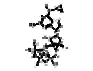 CN(c1nc(N)nc2c1ncn2[C@@H]1O[C@@H]2C(OP(=O)(O)OP(=O)(O)OP(=O)(O)O)[C@]2(O)[C@@H]1F)C1CC1